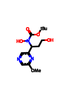 COc1cncc(C(CCO)N(O)C(=O)OC(C)(C)C)n1